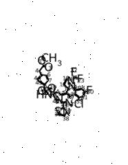 COC(=O)Cc1ccc(S(=O)(=O)N[C@H]2CC3=C(c4ccn(C(F)F)n4)[C@H](c4ccc(F)cc4Cl)N=C(c4nccs4)N3C2)cc1